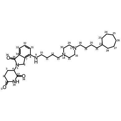 O=C1CCC(N2Cc3c(NCCCCN4CCN(CCCCC5CCCCCC5)CC4)cccc3C2=O)C(=O)N1